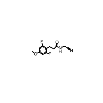 COc1cc(F)c(CCC(=O)NCC#N)c(F)c1